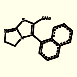 CSC1=C(c2cccc3ccccc23)N2CCN=C2S1